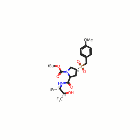 COc1ccc(CS(=O)(=O)[C@@H]2CC(C(=O)N[C@@H](C(C)C)[C@H](O)C(F)(F)F)N(C(=O)OC(C)(C)C)C2)cc1